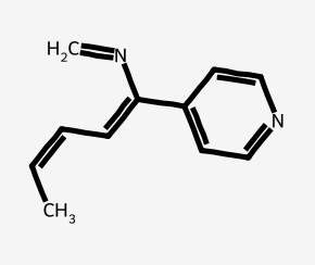 C=N/C(=C\C=C/C)c1ccncc1